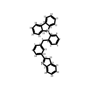 c1cc(Cc2ccccc2-n2c3ccccc3c3ccccc32)cc(C2=Nc3ccccc3C2)c1